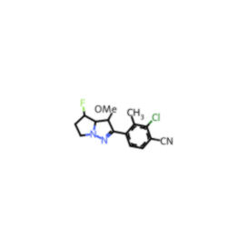 COC1C(c2ccc(C#N)c(Cl)c2C)=NN2CCC(F)C12